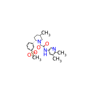 Cc1cc(NC(=O)C(=O)N2C[C@H](C)CC[C@H]2c2cccc(S(C)(=O)=O)c2)cnc1C